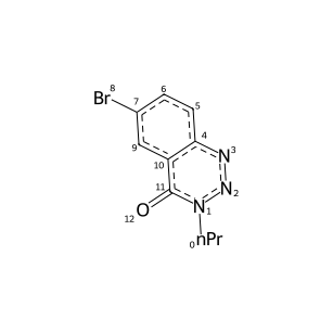 CCCn1nnc2ccc(Br)cc2c1=O